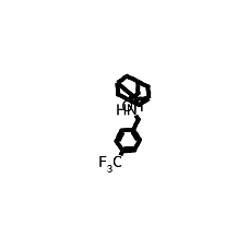 OC12CC3CC(C1)C(NCc1ccc(C(F)(F)F)cc1)C(C3)C2